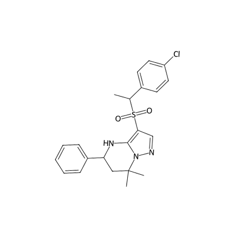 CC(c1ccc(Cl)cc1)S(=O)(=O)c1cnn2c1NC(c1ccccc1)CC2(C)C